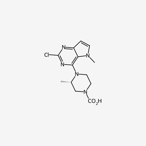 C[C@H]1CN(C(=O)O)CCN1c1nc(Cl)nc2ccn(C)c12